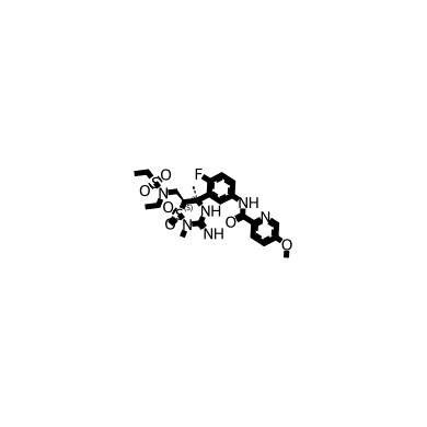 CCN(C[C@H]1[C@@](C)(c2cc(NC(=O)c3ccc(OC)cn3)ccc2F)NC(=N)N(C)S1(=O)=O)S(=O)(=O)CC